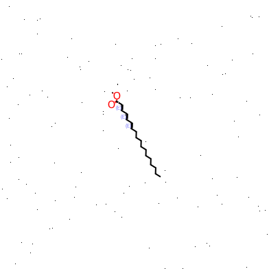 CCCCCCCCCCC/C=C/C=C/C=C/C(=O)OC